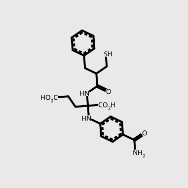 NC(=O)c1ccc(NC(CCC(=O)O)(NC(=O)C(CS)Cc2ccccc2)C(=O)O)cc1